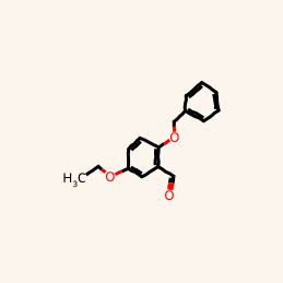 CCOc1ccc(OCc2ccccc2)c(C=O)c1